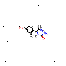 Cc1cc(O)ccc1-c1nc(=O)[nH]nc1C